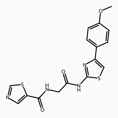 COc1ccc(-c2csc(NC(=O)CNC(=O)c3cncs3)n2)cc1